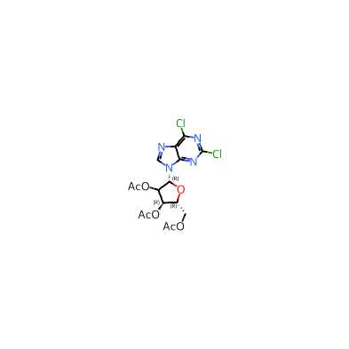 CC(=O)OC[C@H]1O[C@@H](n2cnc3c(Cl)nc(Cl)nc32)C(OC(C)=O)[C@@H]1OC(C)=O